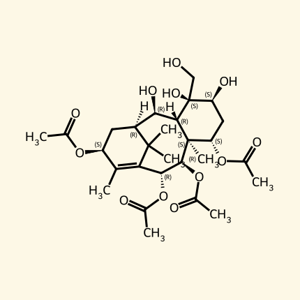 CC(=O)O[C@H]1C[C@H]2[C@@H](O)[C@@H]3[C@](O)(CO)[C@@H](O)C[C@H](OC(C)=O)[C@@]3(C)[C@@H](OC(C)=O)[C@H](OC(C)=O)C(=C1C)C2(C)C